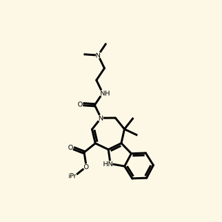 CC(C)OC(=O)C1=CN(C(=O)NCCN(C)C)CC(C)(C)c2c1[nH]c1ccccc21